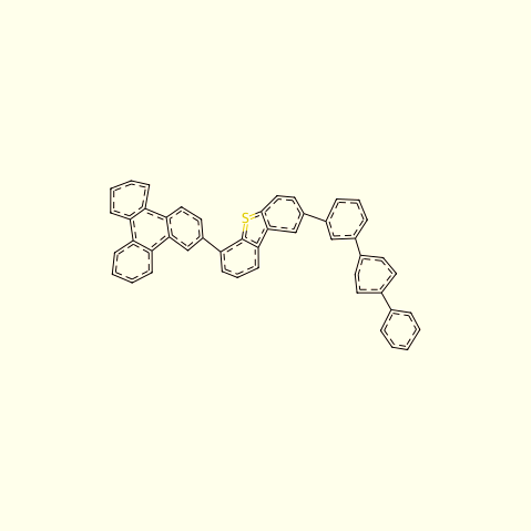 c1ccc(-c2ccc(-c3cccc(-c4ccc5sc6c(-c7ccc8c9ccccc9c9ccccc9c8c7)cccc6c5c4)c3)cc2)cc1